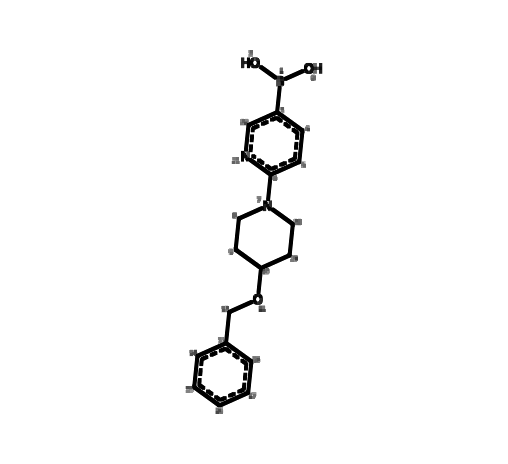 OB(O)c1ccc(N2CCC(OCc3ccccc3)CC2)nc1